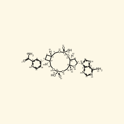 NC(=O)c1cc([C@@H]2C[C@@H]3COP(=O)(S)O[C@H]4C[C@H](n5cnc6c(N)ncnc65)O[C@@H]4COP(=O)(O)OC[C@H]32)ccn1